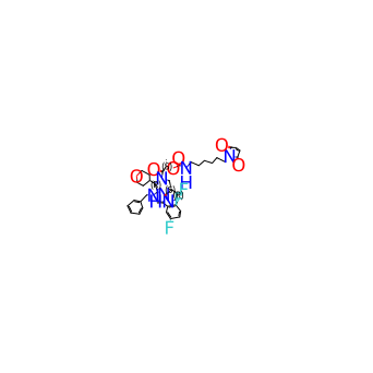 C[C@H](OC(=O)NCCCCCCN1C(=O)C=CC1=O)C(=O)N(C[C@@H]1CNC[C@@H]1F)[C@@H](c1nc(-c2cc(F)ccc2F)cn1Cc1ccccc1)C1CCOCC1